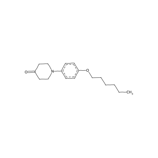 CCCCCCOc1ccc(N2CCC(=O)CC2)cc1